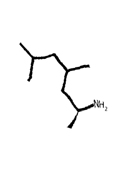 CC(C)CC(C)C[C@H](C)N